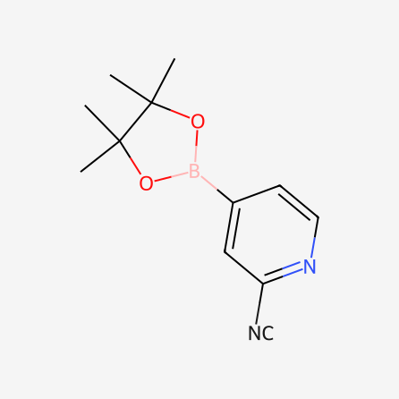 [C-]#[N+]c1cc(B2OC(C)(C)C(C)(C)O2)ccn1